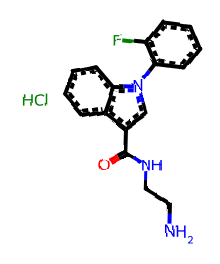 Cl.NCCNC(=O)c1cn(-c2ccccc2F)c2ccccc12